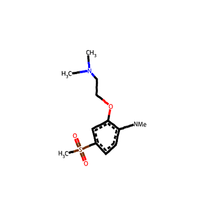 CNc1ccc(S(C)(=O)=O)cc1OCCN(C)C